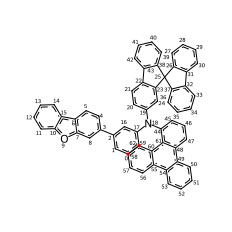 c1cc(-c2ccc3c(c2)oc2ccccc23)cc(N(c2ccc3c(c2)C2(c4ccccc4-c4ccccc42)c2ccccc2-3)c2cccc3c4ccccc4c4ccccc4c23)c1